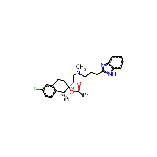 CC(C)C(=O)O[C@]1(CCN(C)CCCc2nc3ccccc3[nH]2)CCc2cc(F)ccc2[C@@H]1C(C)C